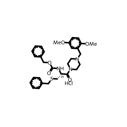 COc1ccc(OC)c(CN2CCN(C(=O)[C@H](CSCc3ccccc3)NC(=O)OCc3ccccc3)CC2)c1.Cl